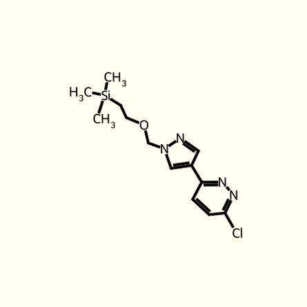 C[Si](C)(C)CCOCn1cc(-c2ccc(Cl)nn2)cn1